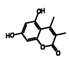 Cc1c(C)c2c(O)cc(O)cc2oc1=O